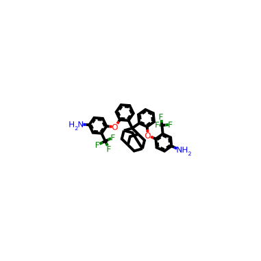 Nc1ccc(Oc2ccccc2C2(c3ccccc3Oc3ccc(N)cc3C(F)(F)F)C3CC4CC(C3)CC2C4)c(C(F)(F)F)c1